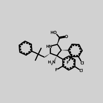 CC(C)(C[C@@H]1N[C@@H](C(=O)O)[C@H](c2cccc(Cl)c2F)[C@@]1(N)c1ccc(Cl)cc1F)c1ccccc1